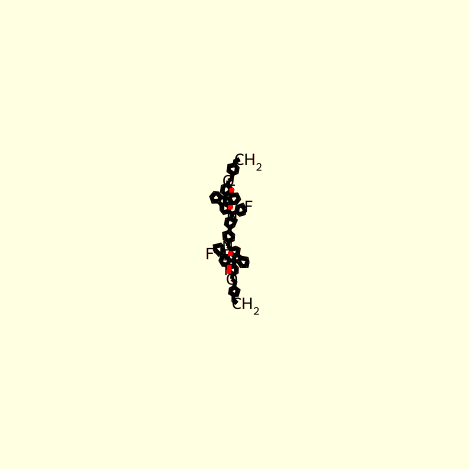 C=Cc1ccc(COc2ccc(C3(c4c(F)cccc4F)c4ccccc4-c4ccc(N(c5ccc(F)cc5)c5ccc(-c6ccc(N(c7ccc(F)cc7)c7ccc8c(c7)C(c7ccc(OCc9ccc(C=C)cc9)cc7)(c7c(F)cccc7F)c7ccccc7-8)cc6)cc5)cc43)cc2)cc1